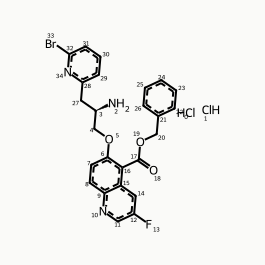 Cl.Cl.N[C@@H](COc1ccc2ncc(F)cc2c1C(=O)OCc1ccccc1)Cc1cccc(Br)n1